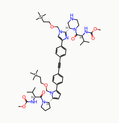 COC(=O)N[C@H](C(=O)N1CCNC[C@H]1c1nc(-c2ccc(C#Cc3ccc(-c4ccc([C@@H]5CCCN5C(=O)[C@@H](NC(=O)OC)C(C)C)n4COCC[Si](C)(C)C)cc3)cc2)cn1COCC[Si](C)(C)C)C(C)C